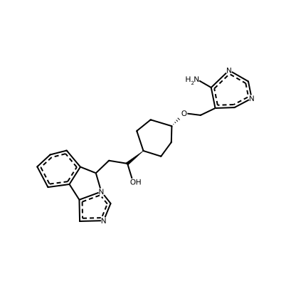 Nc1ncncc1CO[C@H]1CC[C@H](C(O)CC2c3ccccc3-c3cncn32)CC1